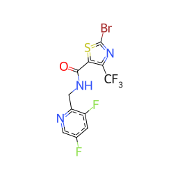 O=C(NCc1ncc(F)cc1F)c1sc(Br)nc1C(F)(F)F